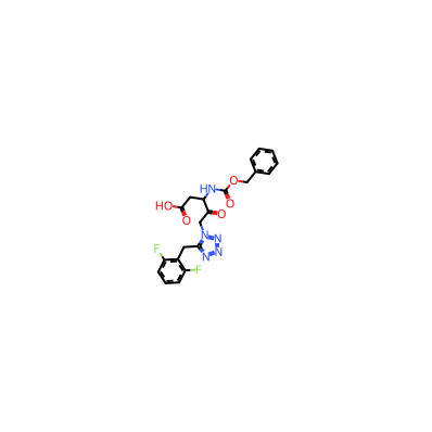 O=C(O)CC(NC(=O)OCc1ccccc1)C(=O)Cn1nnnc1Cc1c(F)cccc1F